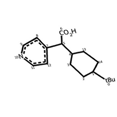 CC(C)(C)C1CCC(C(C(=O)O)c2ccncc2)CC1